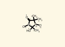 CC1(C)C(=O)N(Cl)C(C)(O)N1Cl